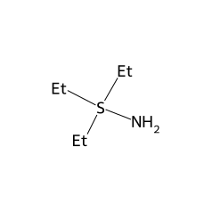 CCS(N)(CC)CC